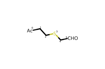 CC(=O)CCSCC=O